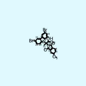 COc1ccc2c(c1)C(=O)N(C(C)(C(=O)O)n1c3ccc(Br)cc3c3cc(Br)ccc31)C2=O